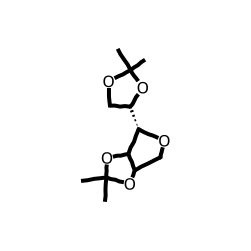 CC1(C)OCC([C@@H]2OCC3OC(C)(C)OC32)O1